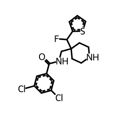 O=C(NCC1(C(F)c2cccs2)CCNCC1)c1cc(Cl)cc(Cl)c1